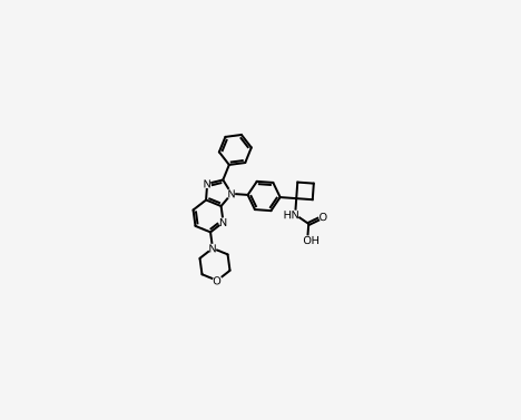 O=C(O)NC1(c2ccc(-n3c(-c4ccccc4)nc4ccc(N5CCOCC5)nc43)cc2)CCC1